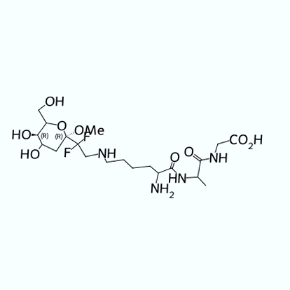 CO[C@]1(C(F)(F)CNCCCCC(N)C(=O)NC(C)C(=O)NCC(=O)O)CC(O)[C@@H](O)C(CO)O1